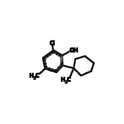 Cc1cc(Cl)c(O)c(C2(C)CCCCC2)c1